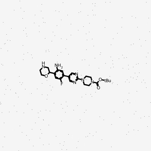 CC(C)(C)OC(=O)N1CCN(c2ncc(-c3cc(N)c(C4CNCCO4)cc3F)cn2)CC1